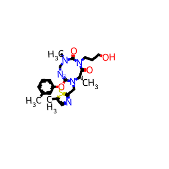 Cc1cccc(O/C2=N/CN(C)C(=O)N(CCCO)C(=O)[C@H](C)N2Cc2ncc(C)s2)c1